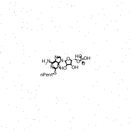 CCCCCSc1nc(N)c2ncn([C@@H]3O[C@H](COP(=O)(O)O)C(O)C3O)c2n1